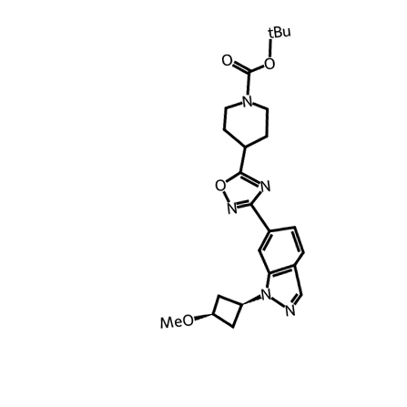 CO[C@H]1C[C@@H](n2ncc3ccc(-c4noc(C5CCN(C(=O)OC(C)(C)C)CC5)n4)cc32)C1